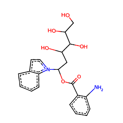 Nc1ccccc1C(=O)OC(CC(O)C(O)C(O)CO)n1ccc2ccccc21